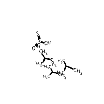 CC(C)C.CC(C)C.CC(C)C.O=[SH](O)=S